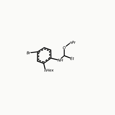 CCCCCCc1cc(Br)ccc1NC(CC)OCCC